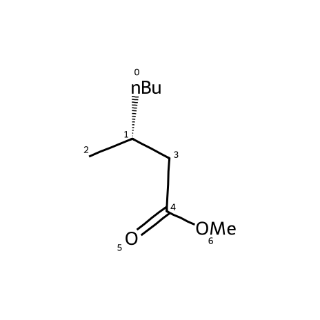 CCCC[C@@H](C)CC(=O)OC